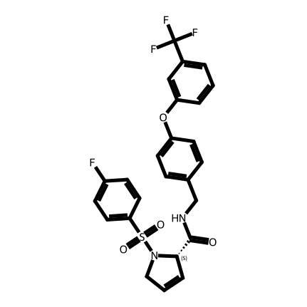 O=C(NCc1ccc(Oc2cccc(C(F)(F)F)c2)cc1)[C@@H]1C=CCN1S(=O)(=O)c1ccc(F)cc1